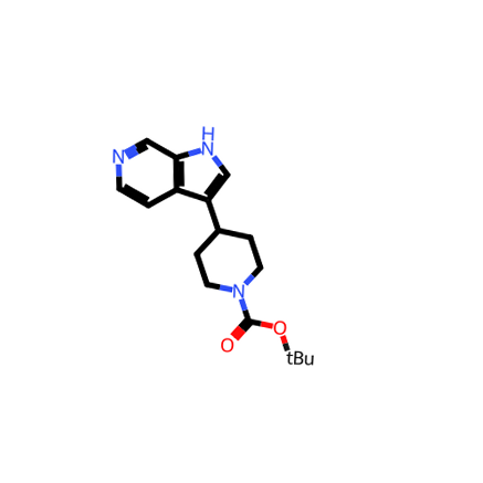 CC(C)(C)OC(=O)N1CCC(c2c[nH]c3cnccc23)CC1